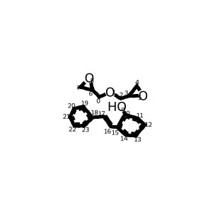 C(OCC1CO1)C1CO1.Oc1ccccc1/C=C/c1ccccc1